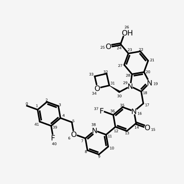 Cc1ccc(COc2cccc(-c3cc(=O)n(Cc4nc5ccc(C(=O)O)cc5n4C[C@@H]4CCO4)cc3F)n2)c(F)c1